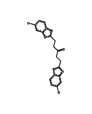 O=C(CCc1nc2ccc(Cl)cc2s1)CCc1nc2ccc(Cl)cc2s1